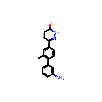 Cc1cc(C2=NNC(=O)CC2)ccc1-c1cccc(N)c1